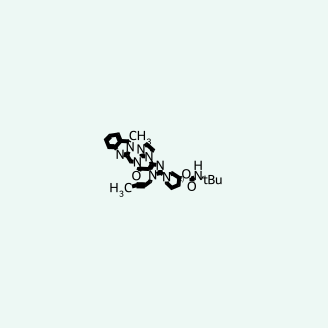 CC#CCn1c(N2CCC[C@@H](OC(=O)NC(C)(C)C)C2)nc2c1C(=O)N(Cc1nc(C)c3ccccc3n1)C1=NCCN12